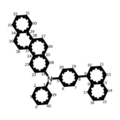 c1ccc(N(c2ccc(-c3cccc4ccccc34)cc2)c2ccc3c(ccc4c5ccccc5ccc34)c2)cc1